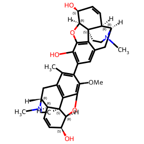 COc1c2c3c(c(C)c1-c1cc4c5c(c1O)O[C@H]1[C@@H](O)C=C[C@H]6[C@@H](C4)N(C)CC[C@@]561)C[C@@H]1[C@@H]4C=C[C@H](O)[C@H](O2)[C@]34CCN1C